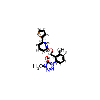 Cc1cccc(-n2nnn(C)c2=O)c1COc1cccc(-c2cccs2)n1